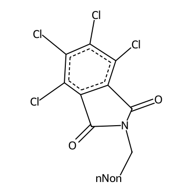 CCCCCCCCCCN1C(=O)c2c(Cl)c(Cl)c(Cl)c(Cl)c2C1=O